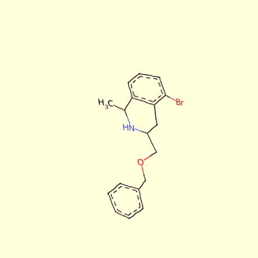 CC1NC(COCc2ccccc2)Cc2c(Br)cccc21